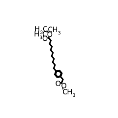 CCOC(=O)Cc1ccc(CCCCCCCCCCC(=O)OC(C)(C)C)cc1